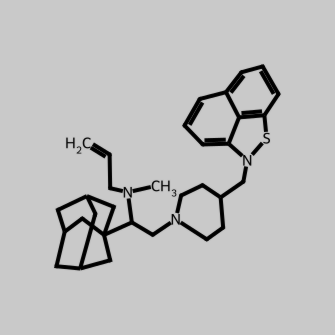 C=CCN(C)C(CN1CCC(CN2Sc3cccc4cccc2c34)CC1)C12CC3CC(CC(C3)C1)C2